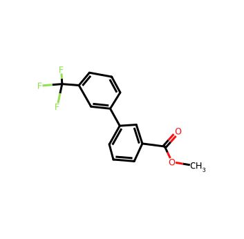 COC(=O)c1cccc(-c2cccc(C(F)(F)F)c2)c1